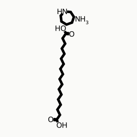 C1CCCNCC1.N.O=C(O)CCCCCCCCCCCCCCCCC(=O)O